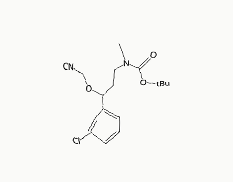 [C-]#[N+]COC(CCN(C)C(=O)OC(C)(C)C)c1cccc(Cl)c1